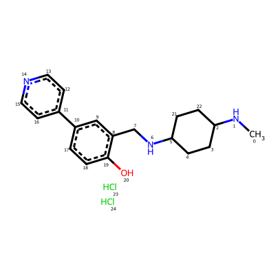 CNC1CCC(NCc2cc(-c3ccncc3)ccc2O)CC1.Cl.Cl